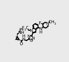 CC(C)NC[C@@H]1C[C@H]1C(=O)NCc1nc(-c2cc3c(N[C@@H]4CCN(C)C[C@@H]4F)cccc3n2CC(F)(F)F)no1